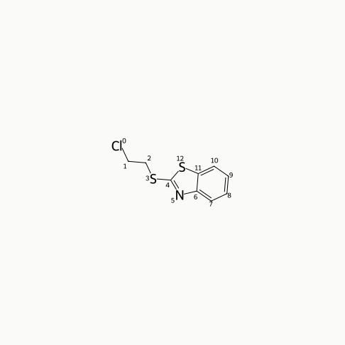 ClCCSc1nc2ccccc2s1